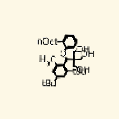 CCCCCCCCc1ccccc1OC(c1c(C)cc(C(C)(C)C)cc1C(C)(C)C)C(CO)(CO)CO